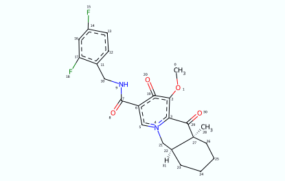 COc1c2n(cc(C(=O)NCc3ccc(F)cc3F)c1=O)C[C@@H]1CCCC[C@]1(C)C2=O